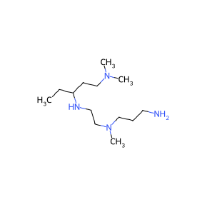 CCC(CCN(C)C)NCCN(C)CCCN